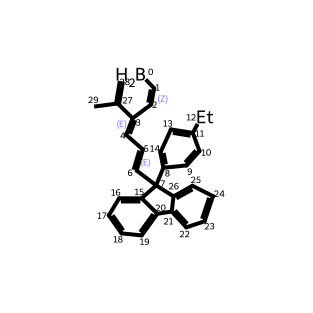 B\C=C/C(=C\C=C\C1(c2ccc(CC)cc2)c2ccccc2-c2ccccc21)C(=C)C